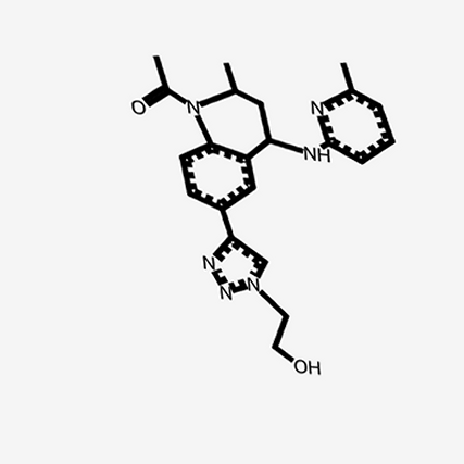 CC(=O)N1c2ccc(-c3cn(CCO)nn3)cc2C(Nc2cccc(C)n2)CC1C